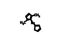 Cc1ccn(C)[c]1[Ru][C]1=CC=CC1